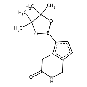 CC1(C)OB(c2ccc3n2CC(=O)NC3)OC1(C)C